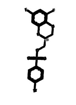 O=S(=O)(OC[C@H]1COc2c(F)cc(F)cc2O1)c1ccc(Br)cc1